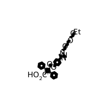 CCOCCOCCOCCn1cc(-c2ccc(OC(=O)[C@H]3[C@@H](c4ccccc4)[C@H](C(=O)O)[C@@H]3c3ccccc3)cc2)nn1